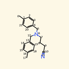 Cc1ccc(CN(CCCC#N)Cc2ccc(C)cc2)cc1